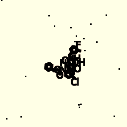 Cc1cc(CNC(=O)c2nc3n(c(=O)c2O)CC2(CCl)CCC3(NC(=O)OCc3ccccc3)CC2)ccc1F